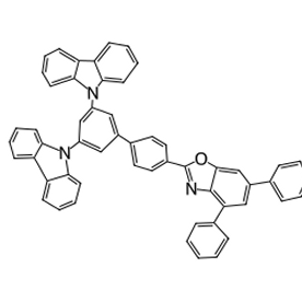 c1ccc(-c2cc(-c3ccccc3)c3nc(-c4ccc(-c5cc(-n6c7ccccc7c7ccccc76)cc(-n6c7ccccc7c7ccccc76)c5)cc4)oc3c2)cc1